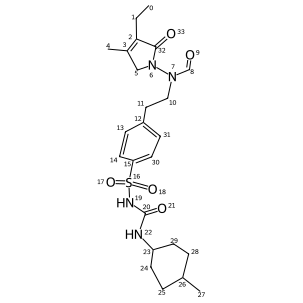 CCC1=C(C)CN(N(C=O)CCc2ccc(S(=O)(=O)NC(=O)NC3CCC(C)CC3)cc2)C1=O